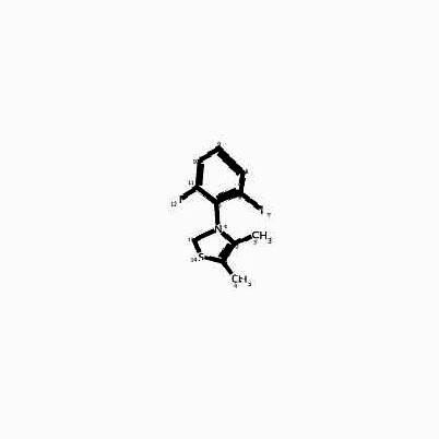 CC1=C(C)N(c2c(I)cccc2I)[C]S1